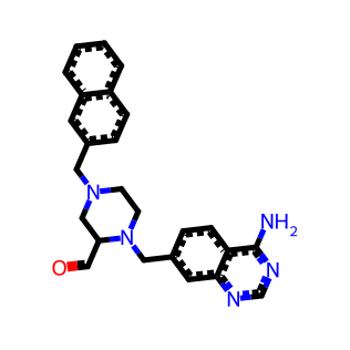 Nc1ncnc2cc(CN3CCN(Cc4ccc5ccccc5c4)CC3C=O)ccc12